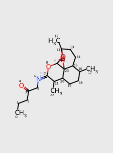 CCCC(=O)C/N=C1/OC2OC3(C)CCC4C(C)CCC(C1C)C24OO3